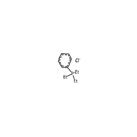 CC[P+](CC)(CC)c1ccccc1.[Cl-]